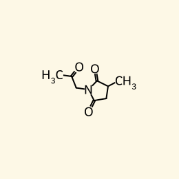 CC(=O)CN1C(=O)CC(C)C1=O